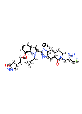 Cn1c(-c2cc3cccc(OCCC4CNC(=O)C4)c3n2CC2CC2)nc2cc3c(cc21)CCN(C[C@H](N)CF)C3=O